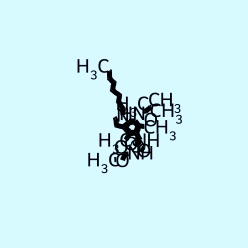 CCCCCCCCN1CCc2c(C)c(NS(=O)(=O)NC(=O)OC)c(C)c(NC(=O)C(C)(C)C)c21